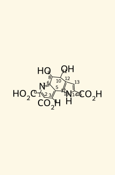 O=C(O)c1cc(C(=O)O)c2c(n1)C(O)C(O)c1cc(C(=O)O)[nH]c1-2